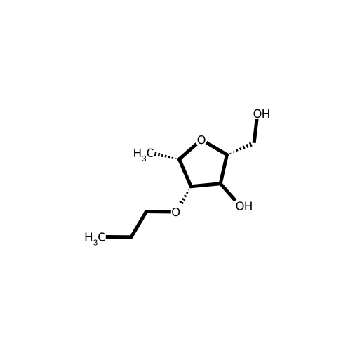 CCCO[C@H]1C(O)[C@@H](CO)O[C@H]1C